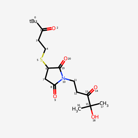 CC(C)(C)C(=O)CCSC1CC(=O)N(CCC(=O)C(C)(C)O)C1=O